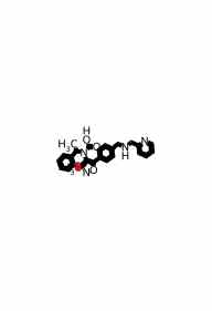 Cc1noc(-c2ccc(CNCc3ccccn3)cc2)c1N(C(=O)O)C(C)c1ccccc1Cl